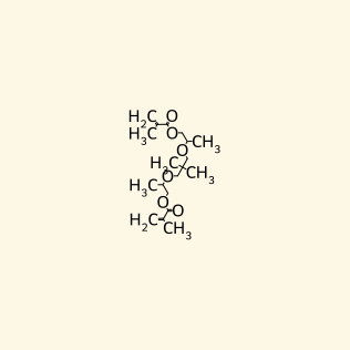 C=C(C)C(=O)OCC(C)OCC(C)(C)COC(C)COC(=O)C(=C)C